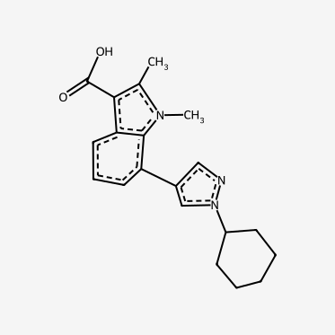 Cc1c(C(=O)O)c2cccc(-c3cnn(C4CCCCC4)c3)c2n1C